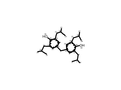 CC(C)Cc1cc(Cc2cc(CC(C)C)c(O)c(CC(C)C)c2)cc(CC(C)C)c1O